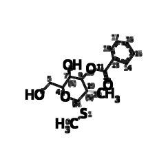 CS[C@@H]1OC(CO)[C@@H](O)C(OC(=O)c2ccccc2)[C@@H]1C